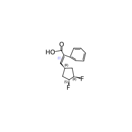 O=C(O)/C(=C/[C@H]1C[C@@H](F)[C@@H](F)C1)c1ccccc1